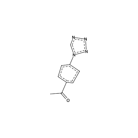 CC(=O)c1ccc(-n2cnnn2)cc1